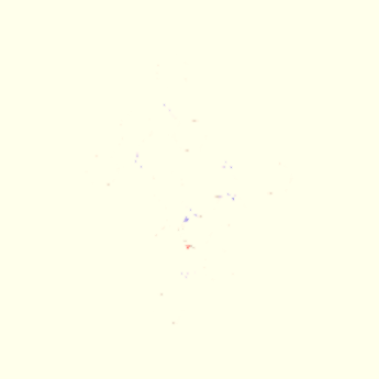 c1ccc(-c2cc(-c3ccc4c(c3)c3c(ccc5c6ccccc6n(-c6ccc7c(c6)c6ccc8c(c9ccccc9n8-c8ccccc8)c6n7-c6ccccc6)c53)n4-c3ccccc3)nc(-c3ccccc3)n2)cc1